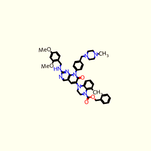 COc1ccc(CNc2ncc3cc(N4CCN(C(=O)OCc5ccccc5)c5c(C)cccc54)c(=O)n(-c4ccc(CN5CCN(C)CC5)cc4)c3n2)c(OC)c1